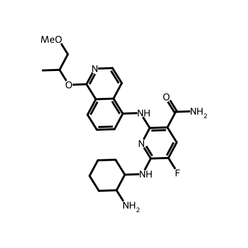 COCC(C)Oc1nccc2c(Nc3nc(NC4CCCCC4N)c(F)cc3C(N)=O)cccc12